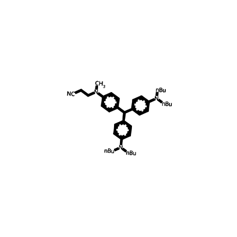 CCCCN(CCCC)c1ccc(C(c2ccc(N(C)CCC#N)cc2)c2ccc(N(CCCC)CCCC)cc2)cc1